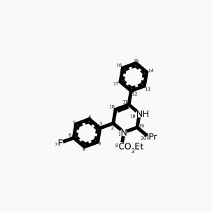 CCOC(=O)N1C(c2ccc(F)cc2)C=C(c2ccccc2)NC1C(C)C